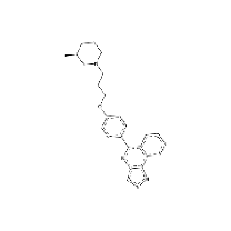 C[C@H]1CCCN(CCCOc2ccc(-c3nn4cnnc4c4cnccc34)cc2)C1